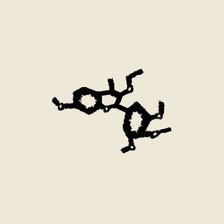 CCOC1=C(C)c2ccc(OC)cc2OC1c1cc(OC)c(OC)c(OC)c1